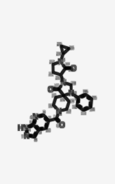 O=C(c1cnc2[nH]ncc2c1)N1CCC2(CC1)C(=O)N(C1CCN(C3CC3)C1=O)CN2c1ccccc1